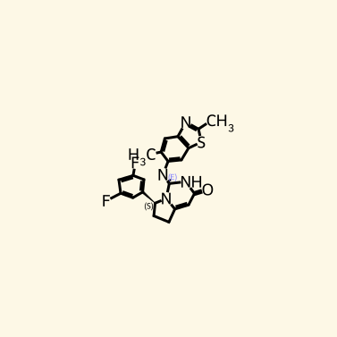 Cc1nc2cc(C)c(/N=c3\[nH]c(=O)cc4n3[C@H](c3cc(F)cc(F)c3)CC4)cc2s1